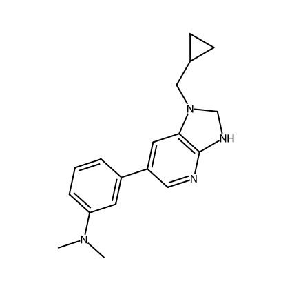 CN(C)c1cccc(-c2cnc3c(c2)N(CC2CC2)CN3)c1